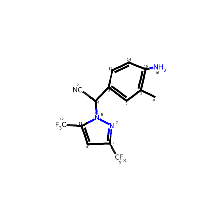 Cc1cc(C(C#N)n2nc(C(F)(F)F)cc2C(F)(F)F)ccc1N